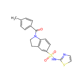 Cc1ccc(C(=O)N2CCc3cc(S(=O)(=O)Nc4nccs4)ccc32)cc1